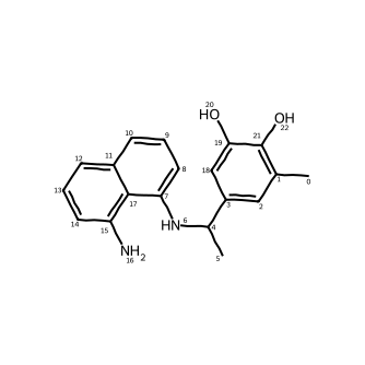 Cc1cc(C(C)Nc2cccc3cccc(N)c23)cc(O)c1O